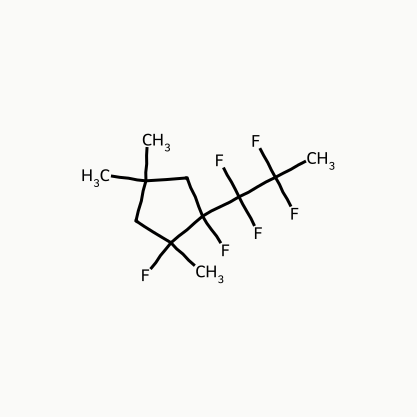 CC1(C)CC(C)(F)C(F)(C(F)(F)C(C)(F)F)C1